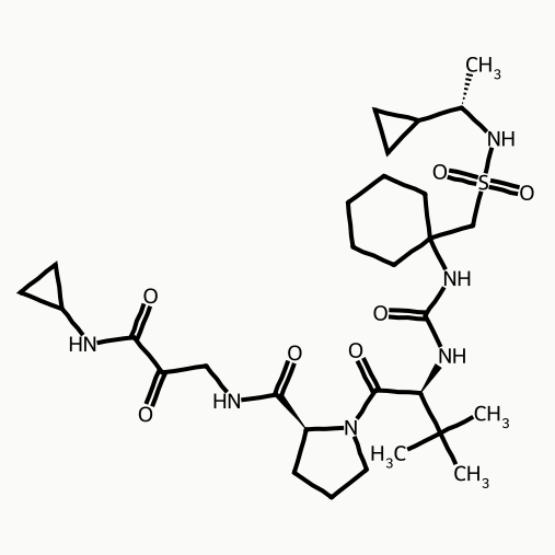 C[C@H](NS(=O)(=O)CC1(NC(=O)N[C@H](C(=O)N2CCC[C@H]2C(=O)NCC(=O)C(=O)NC2CC2)C(C)(C)C)CCCCC1)C1CC1